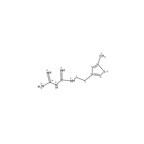 Cc1cc(CCNC(=N)NC(=N)N)cs1